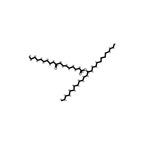 CCCCCCCCCCCCC(CCCCCCCCCCCC)OC(=O)CCCCCCCC(=O)CCCCCCCCC